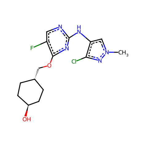 Cn1cc(Nc2ncc(F)c(OC[C@H]3CC[C@H](O)CC3)n2)c(Cl)n1